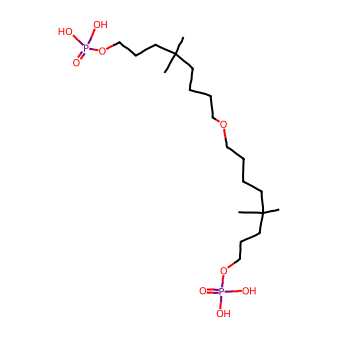 CC(C)(CCCCOCCCCC(C)(C)CCCOP(=O)(O)O)CCCOP(=O)(O)O